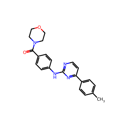 Cc1ccc(-c2ccnc(Nc3ccc(C(=O)N4CCOCC4)cc3)n2)cc1